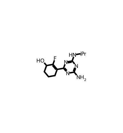 CC(C)Nc1nc(N)nc(C2=C(F)C(O)CCC2)n1